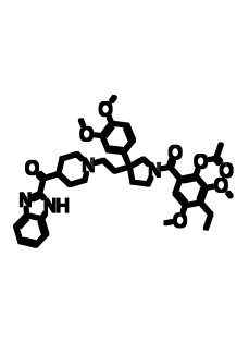 CCc1c(OC)cc(C(=O)N2CCC(CCN3CCC(C(=O)c4nc5ccccc5[nH]4)CC3)(c3ccc(OC)c(OC)c3)C2)c(OC(C)=O)c1OC